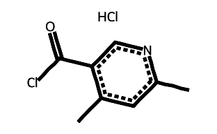 Cc1cc(C)c(C(=O)Cl)cn1.Cl